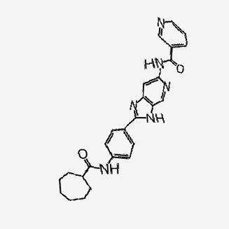 O=C(Nc1cc2nc(-c3ccc(NC(=O)C4CCCCCC4)cc3)[nH]c2cn1)c1cccnc1